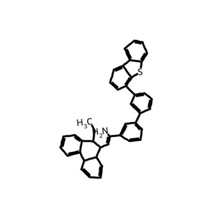 CCC1c2ccccc2C2C=CC=CC2C1/C=C(\N)c1cccc(-c2cccc(-c3cccc4c3sc3ccccc34)c2)c1